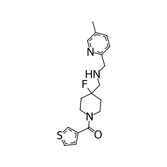 Cc1ccc(CNCC2(F)CCN(C(=O)c3ccsc3)CC2)nc1